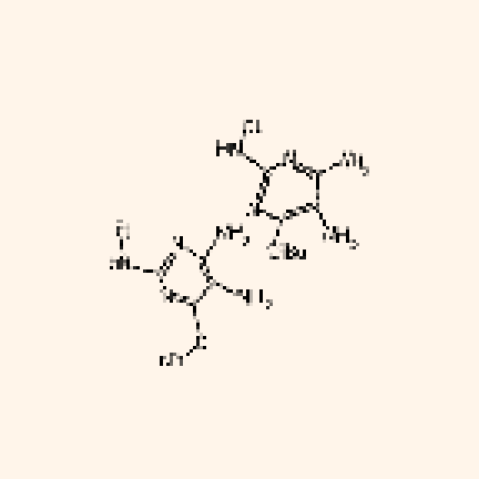 CCCOc1nc(NCC)nc(N)c1N.CCNc1nc(N)c(N)c(OCC(C)C)n1